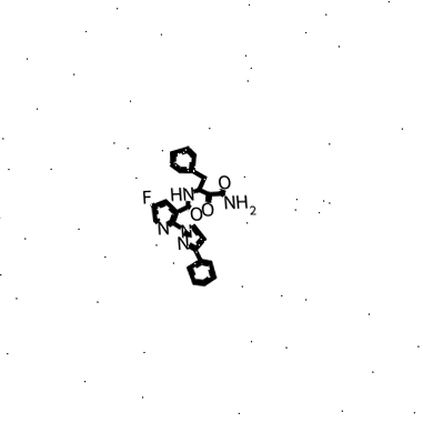 NC(=O)C(=O)C(Cc1ccccc1)NC(=O)c1cc(F)cnc1-n1ccc(-c2ccccc2)n1